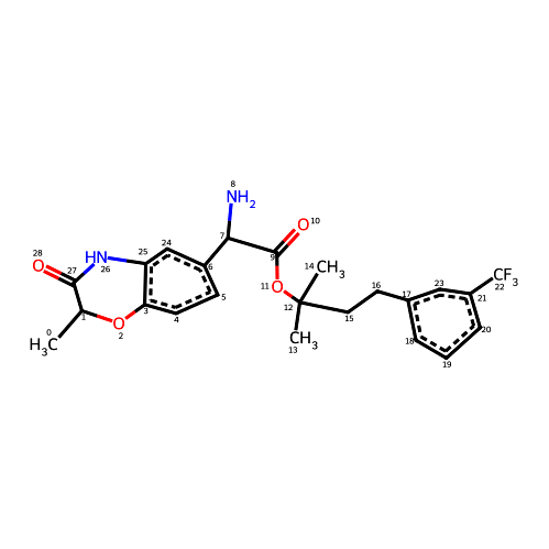 CC1Oc2ccc(C(N)C(=O)OC(C)(C)CCc3cccc(C(F)(F)F)c3)cc2NC1=O